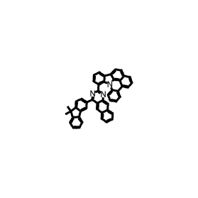 CC1(C)c2ccccc2-c2cc(-c3nc(-c4cccc5c6ccc7cccc8c9ccccc9n(c45)c6c78)nc4cc5ccccc5cc34)ccc21